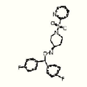 O=S(=O)(c1ccccn1)N1CCC(=NOC(c2ccc(F)cc2)c2ccc(F)cc2)CC1